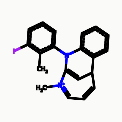 Cc1c(I)cccc1N1C2=CC(C=CC=[N+]2C)c2ccccc21